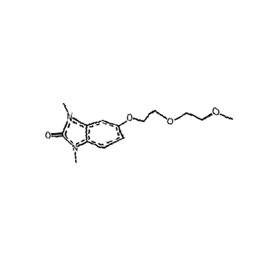 COCCOCCOc1ccc2c(c1)n(C)c(=O)n2C